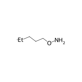 C[CH]CCCON